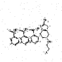 CCCN[C@H]1CCc2nc(N)sc2C1.O=C(O)c1ccccc1.O=C(O)c1ccccc1.O=C(O)c1ccccc1